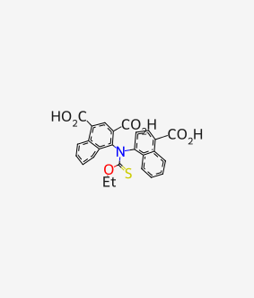 CCOC(=S)N(c1ccc(C(=O)O)c2ccccc12)c1c(C(=O)O)cc(C(=O)O)c2ccccc12